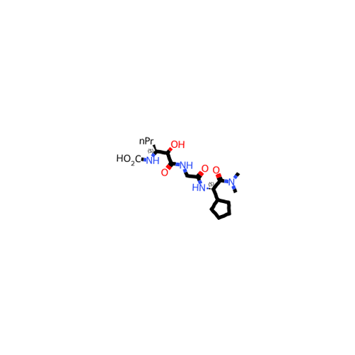 CCC[C@H](NC(=O)O)C(O)C(=O)NCC(=O)N[C@H](C(=O)N(C)C)C1CCCC1